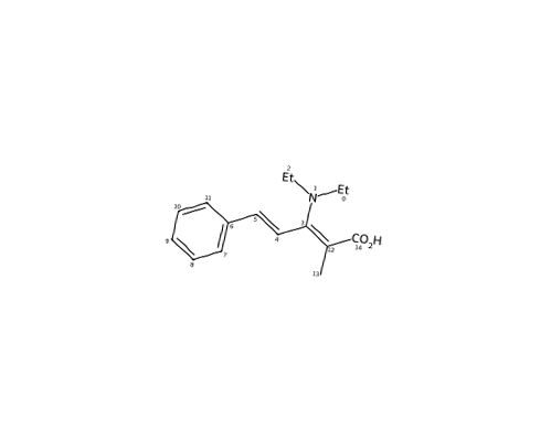 CCN(CC)C(C=Cc1ccccc1)=C(C)C(=O)O